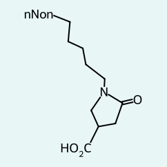 CCCCCCCCCCCCCCN1CC(C(=O)O)CC1=O